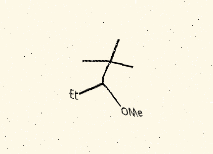 C[CH]C(OC)C(C)(C)C